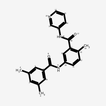 Cc1cc(C)cc(C(=O)Nc2ccc(C)c(C(=O)Nc3cccnc3)c2)c1